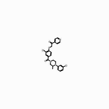 CC1CN(C(=O)c2ccc(SCC(=O)c3ccncc3)c(Cl)c2)CCN1c1cccc(Cl)c1